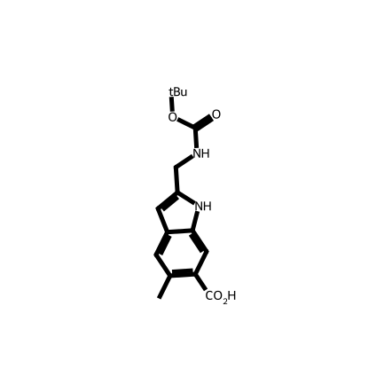 Cc1cc2cc(CNC(=O)OC(C)(C)C)[nH]c2cc1C(=O)O